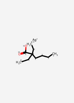 CCCCC(CC)(CC)C(=O)[O-].[Ag+]